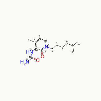 Cc1ccn(CCCCC(C)C)c(=O)c1NC(N)=O